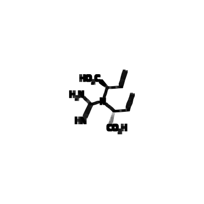 C=C[C@H](C(=O)O)N(C(=N)N)[C@H](C=C)C(=O)O